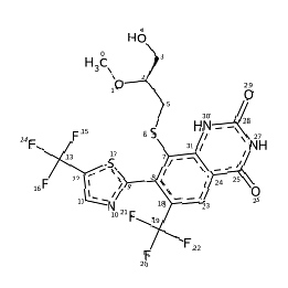 CO[C@@H](CO)CSc1c(-c2ncc(C(F)(F)F)s2)c(C(F)(F)F)cc2c(=O)[nH]c(=O)[nH]c12